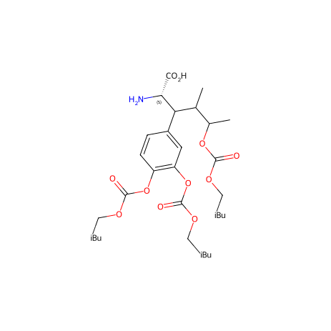 CCC(C)COC(=O)Oc1ccc(C(C(C)C(C)OC(=O)OCC(C)CC)[C@H](N)C(=O)O)cc1OC(=O)OCC(C)CC